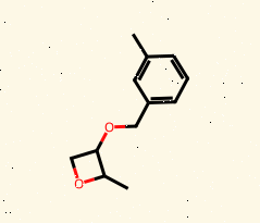 Cc1cccc(COC2COC2C)c1